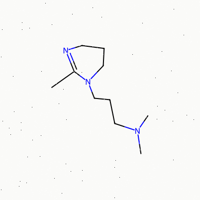 CC1=NCCCN1CCCN(C)C